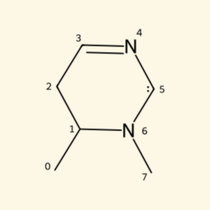 CC1CC=N[C]N1C